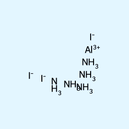 N.N.N.N.N.[Al+3].[I-].[I-].[I-]